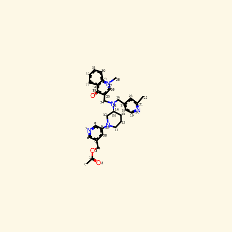 CC(=O)OCc1cncc(N2CCC[C@H](N(Cc3ccnc(C)c3)Cc3cn(C)c4ccccc4c3=O)C2)c1